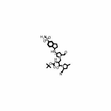 CC1CC(C#N)N(C(=O)C(CN2C[C@@H](NC3CCc4cc(S(N)(=O)=O)ccc43)CC2C=O)NC(=O)OC(C)(C)C)C1